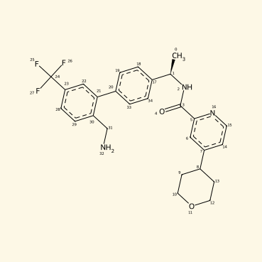 C[C@@H](NC(=O)c1cc(C2CCOCC2)ccn1)c1ccc(-c2cc(C(F)(F)F)ccc2CN)cc1